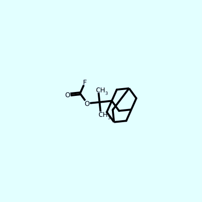 CC(C)(OC(=O)F)C12CC3CC(CC(C3)C1)C2